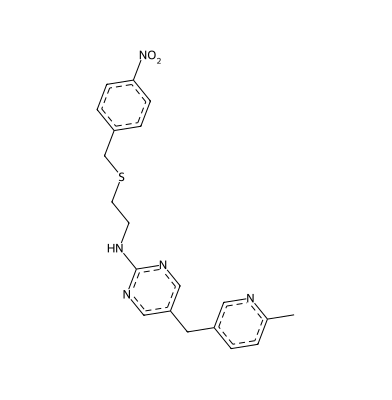 Cc1ccc(Cc2cnc(NCCSCc3ccc([N+](=O)[O-])cc3)nc2)cn1